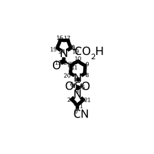 N#CC1CN(S(=O)(=O)N2CCC[C@H](C(=O)N3CCC[C@@H]3C(=O)O)C2)C1